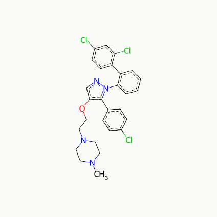 CN1CCN(CCOc2cnn(-c3ccccc3-c3ccc(Cl)cc3Cl)c2-c2ccc(Cl)cc2)CC1